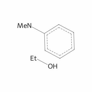 CCO.CNc1ccccc1